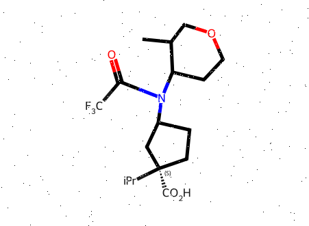 CC1COCCC1N(C(=O)C(F)(F)F)C1CC[C@@](C(=O)O)(C(C)C)C1